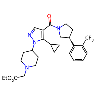 CCOC(=O)CN1CCC(n2ncc(C(=O)N3CC[C@@H](c4ccccc4C(F)(F)F)C3)c2C2CC2)CC1